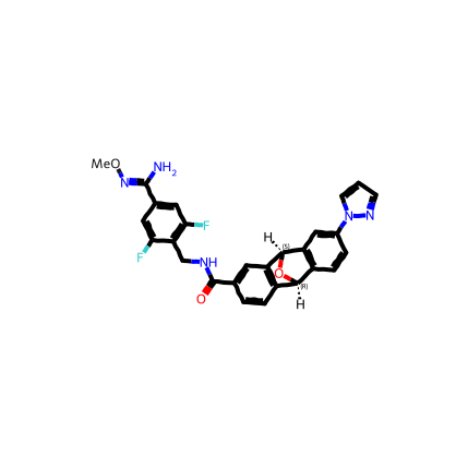 CON=C(N)c1cc(F)c(CNC(=O)c2ccc3c(c2)[C@@H]2O[C@H]3c3ccc(-n4cccn4)cc32)c(F)c1